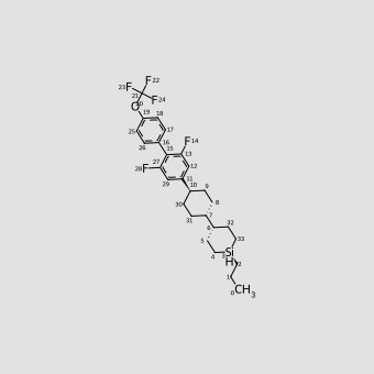 CCC[Si@H]1CC[C@H]([C@H]2CC[C@H](c3cc(F)c(-c4ccc(OC(F)(F)F)cc4)c(F)c3)CC2)CC1